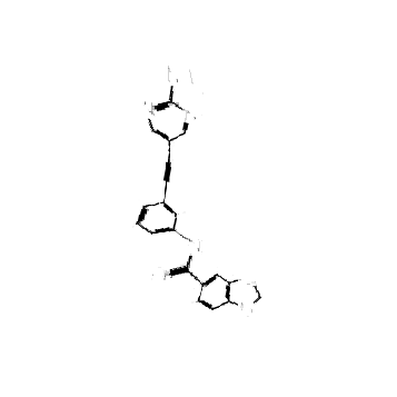 Nc1ncc(C#Cc2cccc(NC(=O)c3ccc4c(c3)OCO4)c2)cn1